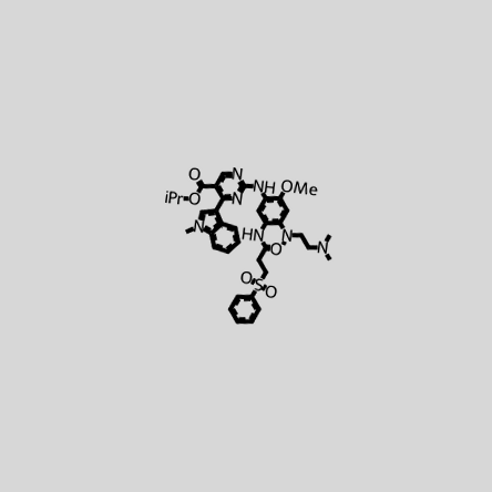 COc1cc(N(C)CCN(C)C)c(NC(=O)CCS(=O)(=O)c2ccccc2)cc1Nc1ncc(C(=O)OC(C)C)c(-c2cn(C)c3ccccc23)n1